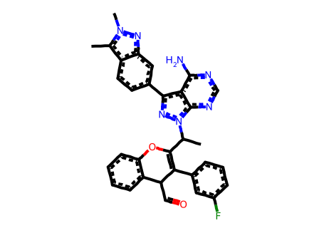 Cc1c2ccc(-c3nn(C(C)C4=C(c5cccc(F)c5)C(C=O)c5ccccc5O4)c4ncnc(N)c34)cc2nn1C